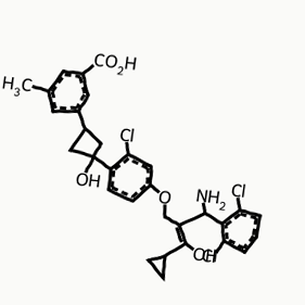 Cc1cc(C(=O)O)cc(C2CC(O)(c3ccc(OC/C(=C(/O)C4CC4)C(N)c4c(Cl)cccc4Cl)cc3Cl)C2)c1